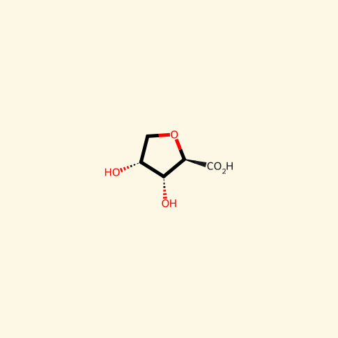 O=C(O)[C@@H]1OC[C@@H](O)[C@H]1O